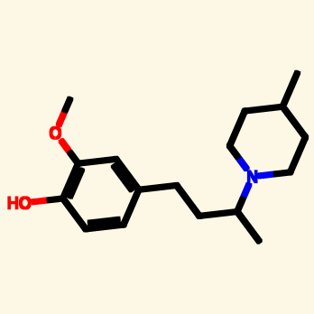 COc1cc(CCC(C)N2CCC(C)CC2)ccc1O